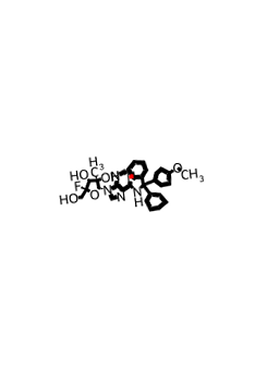 COc1ccc(C(Nc2ncnc3c2ncn3[C@@H]2O[C@](F)(CO)[C@@H](O)[C@@]2(C)O)(c2ccccc2)c2ccccc2)cc1